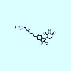 Cn1c(=O)n(C2CCC(=O)NC2=O)c2ccc(CCCOCCC(=O)O)cc21